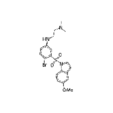 COc1ccc2c(ccn2S(=O)(=O)c2cc(NCCN(C)C)ccc2Br)c1